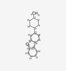 CC1CCC(c2ccc3c(c2)oc2ccccc23)CC1